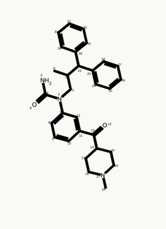 CC(CN(C(N)=O)c1cccc(C(=O)C2CCN(C)CC2)c1)C(c1ccccc1)c1ccccc1